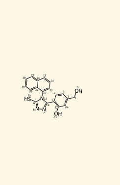 OCc1ccc(-c2nnc(S)n2-c2cccc3ccccc23)c(O)c1